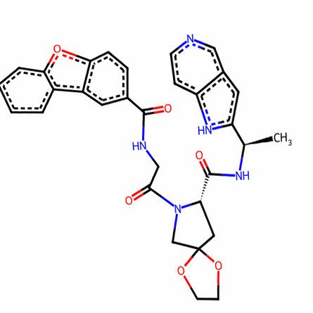 C[C@@H](NC(=O)[C@@H]1CC2(CN1C(=O)CNC(=O)c1ccc3oc4ccccc4c3c1)OCCO2)c1cc2cnccc2[nH]1